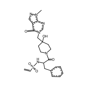 C=CS(=O)(=O)NC(Cc1ccccc1)C(=O)N1CCC(O)(Cn2cnc3c(cnn3C)c2=O)CC1